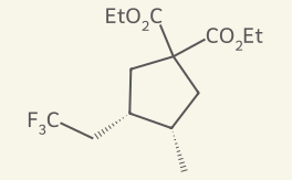 CCOC(=O)C1(C(=O)OCC)C[C@@H](CC(F)(F)F)[C@@H](C)C1